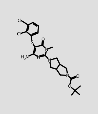 Cn1c(N2CC3CN(C(=O)OC(C)(C)C)CC3C2)nc(N)c(Sc2cccc(Cl)c2Cl)c1=O